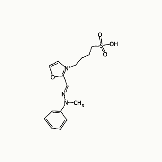 CN(N=Cc1occ[n+]1CCCCS(=O)(=O)O)c1ccccc1